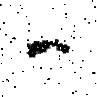 CC[C@@]12CC(C)(O)[C@](O)(c3ccccc3)C[C@H]1CCc1cc(OCC(=O)NCc3ccncc3)ccc12